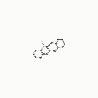 Fc1c2ccccc2cc2cc3ccccc3cc12